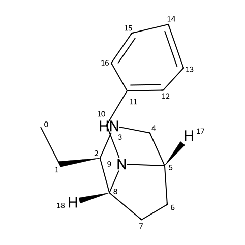 CC[C@H]1NC[C@@H]2CC[C@H]1N2Cc1ccccc1